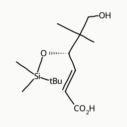 CC(C)(CO)[C@H](/C=C/C(=O)O)O[Si](C)(C)C(C)(C)C